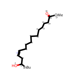 CCCCC(O)C/C=C\CCCCCCCCCC(=O)OC